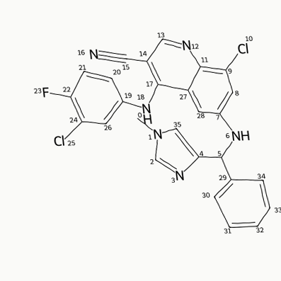 Cn1cnc(C(Nc2cc(Cl)c3ncc(C#N)c(Nc4ccc(F)c(Cl)c4)c3c2)c2ccccc2)c1